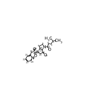 CC(C)C[CH]C(=O)N1CCC2C1C(=O)CN2S(=O)(=O)Cc1ccccn1